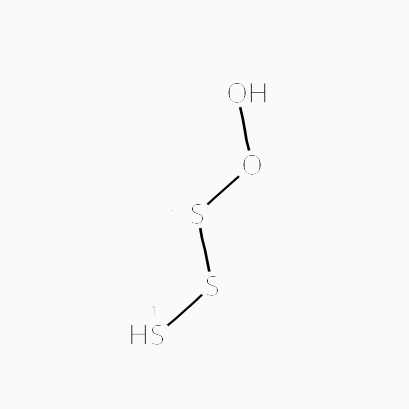 OOSSS